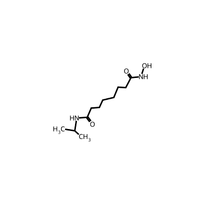 CC(C)NC(=O)CCCCCCC(=O)NO